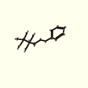 FC(F)(F)C(F)(F)OCCc1ccccc1